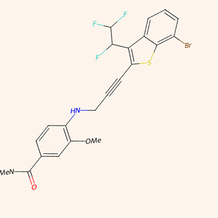 CNC(=O)c1ccc(NCC#Cc2sc3c(Br)cccc3c2C(F)C(F)F)c(OC)c1